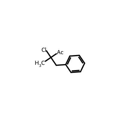 CC(=O)C(C)(Cl)Cc1ccccc1